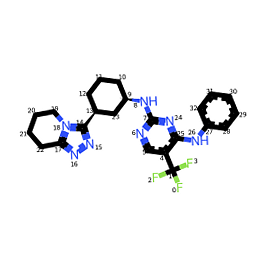 FC(F)(F)c1cnc(N[C@@H]2CCC[C@H](c3nnc4n3CCCC4)C2)nc1Nc1ccccc1